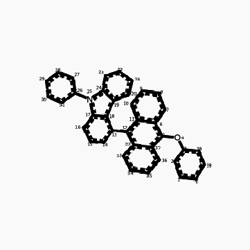 c1ccc(Oc2c3ccccc3c(-c3cccc4c3c3ccccc3n4-c3ccccc3)c3ccccc23)cc1